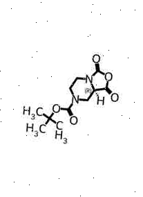 CC(C)(C)OC(=O)N1CCN2C(=O)OC(=O)[C@H]2C1